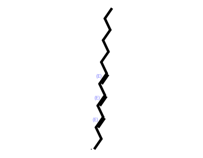 [CH2]C/C=C/C=C/C=C/CCCCCC